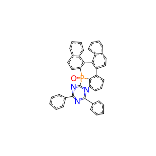 O=P1(c2nc(-c3ccccc3)nc(-c3ccccc3)n2)c2ccccc2-c2ccc3ccccc3c2-c2c1ccc1ccccc21